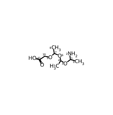 CC(N)OC(C)OC(C)OCC(=O)O